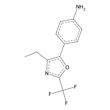 CCc1nc(C(F)(F)F)oc1-c1ccc(N)cc1